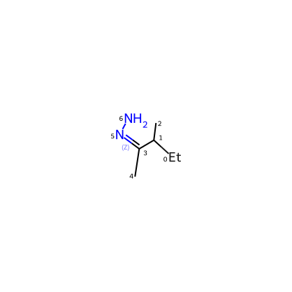 CCC(C)/C(C)=N\N